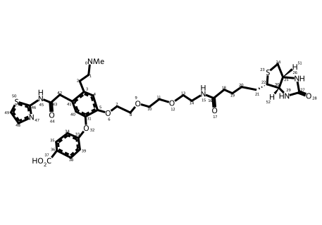 CNCCc1cc(OCCOCCOCCNC(=O)CCCC[C@@H]2SC[C@@H]3NC(=O)N[C@@H]32)c(Oc2ccc(C(=O)O)cc2)cc1CC(=O)Nc1nccs1